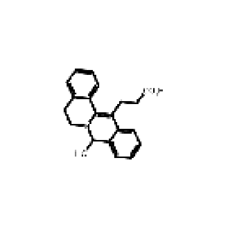 O=C(O)CCC1=C2c3ccccc3CCN2C(O)c2ccccc21